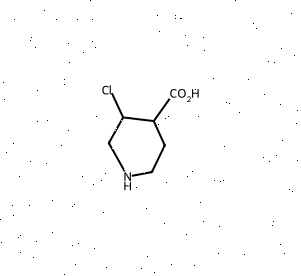 O=C(O)C1CCNCC1Cl